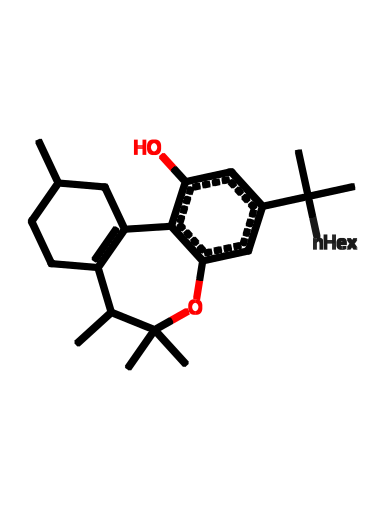 CCCCCCC(C)(C)c1cc(O)c2c(c1)OC(C)(C)C(C)C1=C2CC(C)CC1